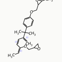 C\C=C(/C=C\C(=C/C)C(C)(C)c1ccc(OCC2OC2C)cc1)OCC1CO1